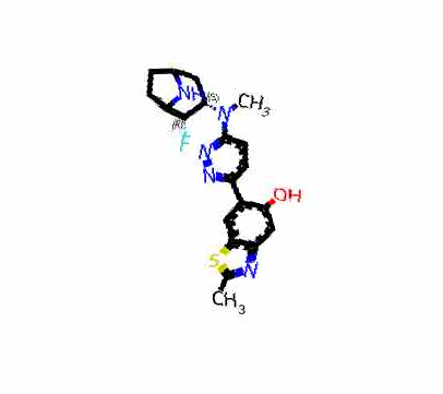 Cc1nc2cc(O)c(-c3ccc(N(C)[C@H]4CC5CCC(N5)[C@H]4F)nn3)cc2s1